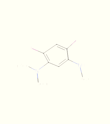 CCCCCCCCNc1cc(N(CCCCCCCC)CCCCCCCC)c(I)cc1I